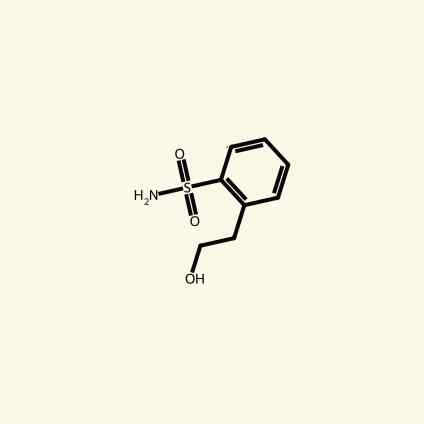 NS(=O)(=O)c1[c]cccc1CCO